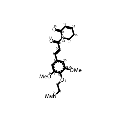 CNCCOc1c(OC)cc(/C=C/C(=O)N2CCC=CC2=O)cc1OC